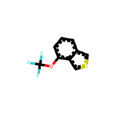 FC(F)(F)Oc1cccc2cs[c]c12